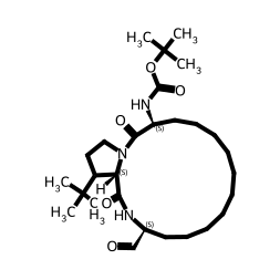 CC(C)(C)OC(=O)N[C@H]1CCCCCCCCCC[C@@H](C=O)NC(=O)[C@@H]2C(C(C)(C)C)CCN2C1=O